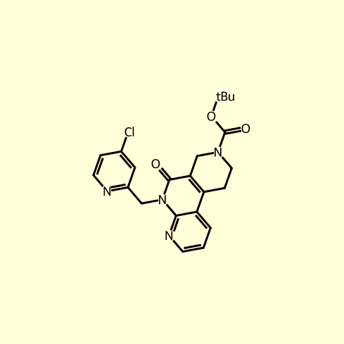 CC(C)(C)OC(=O)N1CCc2c(c(=O)n(Cc3cc(Cl)ccn3)c3ncccc23)C1